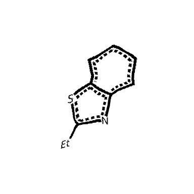 CCc1nc2ccccc2s1